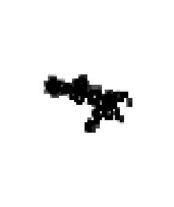 C=C(/C=C\C=C/CCl)n1nc(C(F)(F)F)cc1-c1ccc(C(=O)N2CCCC2C(=O)OCc2ccccc2)cc1